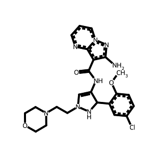 COc1ccc(Cl)cc1C1NN(CCN2CCOCC2)C=C1NC(=O)c1c(N)nn2cccnc12